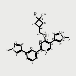 Cn1cc(-c2cccc(-c3ncc(-c4cnn(C)c4)c(NCC4CC(F)(F)C4)n3)c2)cn1